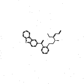 C=C/C=C(/CC)[C@@H](C)CCc1ccccc1C(=C)c1ccc2oc3ccccc3c2c1